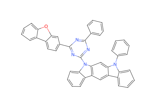 c1ccc(-c2nc(-c3ccc4c(c3)oc3ccccc34)nc(-n3c4ccccc4c4cc5c6ccccc6n(-c6ccccc6)c5cc43)n2)cc1